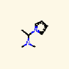 CC(N(C)C)n1cccc1